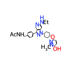 CCNc1cc2c(cn1)c(-c1ccc(CNC(C)=O)cc1)nn2[C@H]1CC[C@@H](OC2=NN(C)C(O)C=C2)CC1